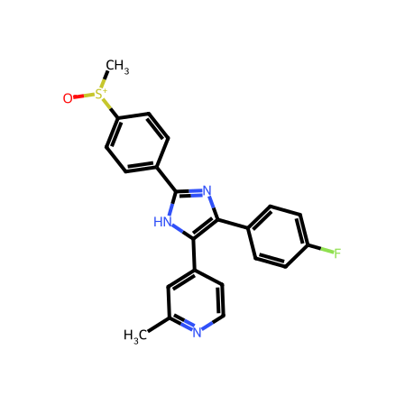 Cc1cc(-c2[nH]c(-c3ccc([S+](C)[O-])cc3)nc2-c2ccc(F)cc2)ccn1